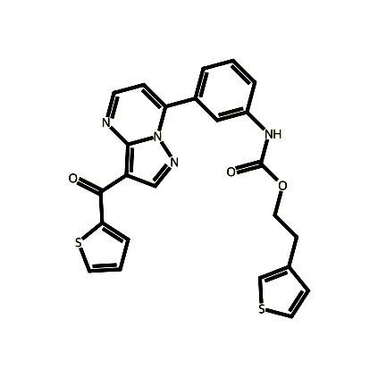 O=C(Nc1cccc(-c2ccnc3c(C(=O)c4cccs4)cnn23)c1)OCCc1ccsc1